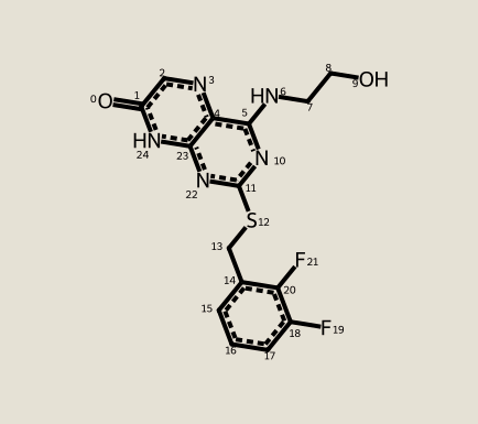 O=c1cnc2c(NCCO)nc(SCc3cccc(F)c3F)nc2[nH]1